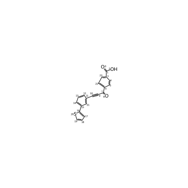 O=C(O)c1ccc(C(=O)C#Cc2cccc(-c3cccs3)c2)cc1